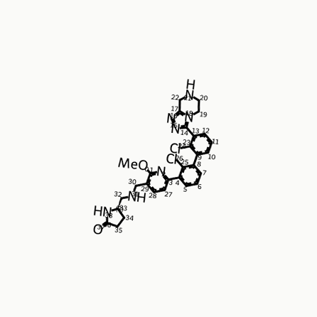 COc1nc(-c2cccc(-c3cccc(-c4nnc5n4CCNC5)c3Cl)c2Cl)ccc1CNC[C@H]1CCC(=O)N1